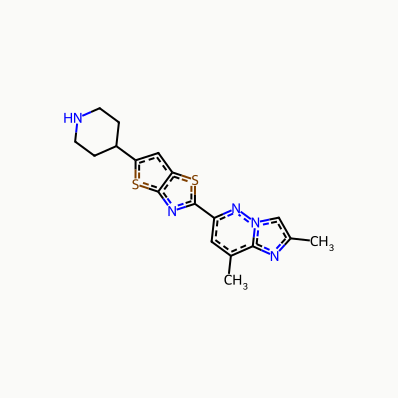 Cc1cn2nc(-c3nc4sc(C5CCNCC5)cc4s3)cc(C)c2n1